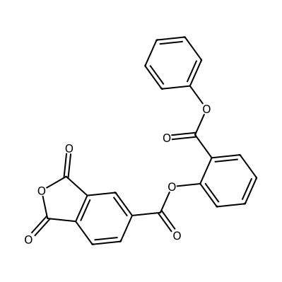 O=C(Oc1ccccc1C(=O)Oc1ccccc1)c1ccc2c(c1)C(=O)OC2=O